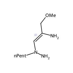 CCCCCN(N)/C=C(\N)COC